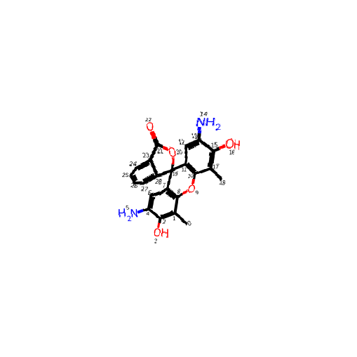 Cc1c(O)c(N)cc2c1Oc1c(cc(N)c(O)c1C)C21OC(=O)c2ccccc21